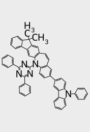 CC1(C)c2ccccc2-c2cc3c(cc21)C=Cc1cc(-c2ccc4c(c2)c2ccccc2n4-c2ccccc2)ccc1N3c1nc(-c2ccccc2)nc(-c2ccccc2)n1